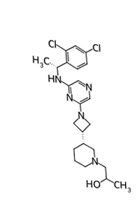 CC(O)CN1CCC[C@H](C2CN(c3cncc(N[C@H](C)c4ccc(Cl)cc4Cl)n3)C2)C1